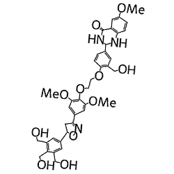 COc1ccc2c(c1)C(=O)NC(c1ccc(OCCOc3c(OC)cc(C4=NOC(c5cc(CO)c(CO)c(CO)c5)C4)cc3OC)c(CO)c1)N2